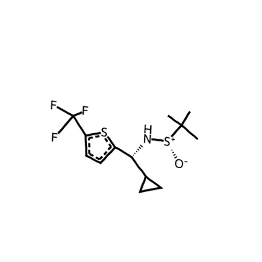 CC(C)(C)[S@+]([O-])N[C@@H](c1ccc(C(F)(F)F)s1)C1CC1